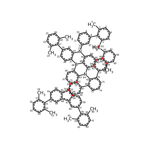 Cc1cccc(C)c1-c1cccc(N2c3cc(-c4c(C)cccc4C)ccc3B3c4ccc(-n5c6ccc(-c7c(C)cccc7C)cc6c6cc(-c7c(C)cccc7C)ccc65)cc4N(c4c(-c5ccccc5)cccc4-c4ccccc4)c4cc(-c5c(C)cccc5C)cc2c43)c1